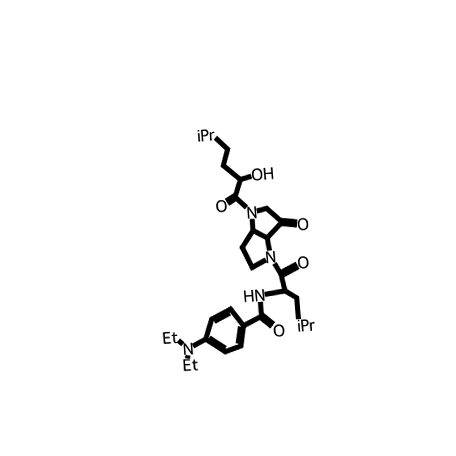 CCN(CC)c1ccc(C(=O)NC(CC(C)C)C(=O)N2CCC3C2C(=O)CN3C(=O)C(O)CCC(C)C)cc1